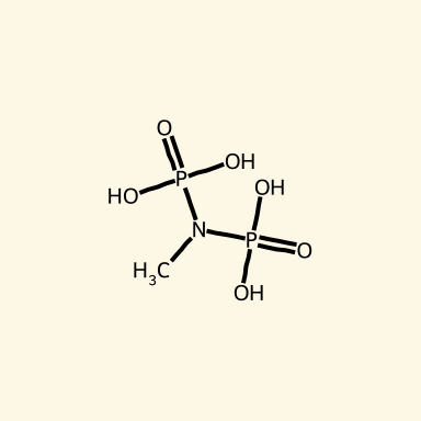 CN(P(=O)(O)O)P(=O)(O)O